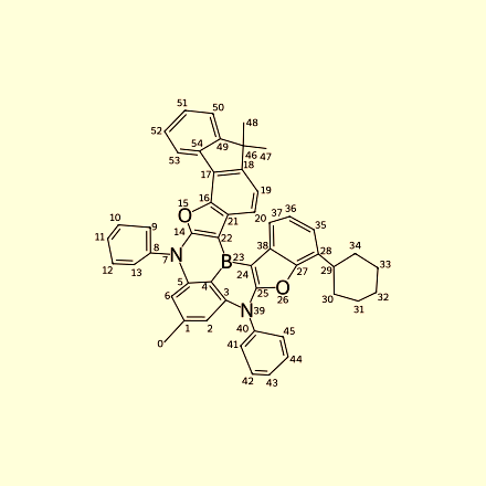 Cc1cc2c3c(c1)N(c1ccccc1)c1oc4c5c(ccc4c1B3c1c(oc3c(C4CCCCC4)cccc13)N2c1ccccc1)C(C)(C)c1ccccc1-5